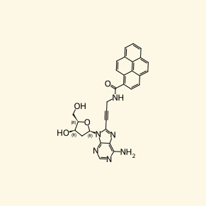 Nc1ncnc2c1nc(C#CCNC(=O)c1ccc3ccc4cccc5ccc1c3c45)n2[C@H]1C[C@@H](O)[C@@H](CO)O1